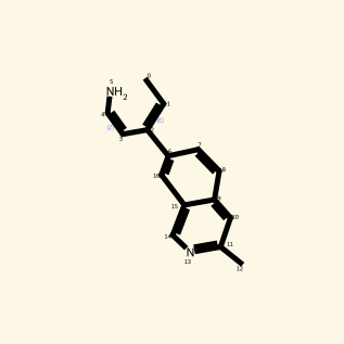 C/C=C(\C=C/N)c1ccc2cc(C)ncc2c1